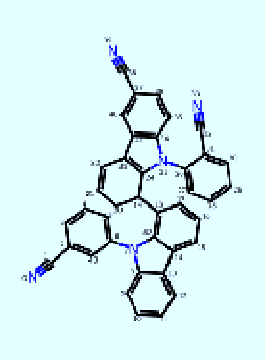 N#Cc1cccc(-n2c3ccccc3c3cccc(C4CC=Cc5c4n(-c4ccccc4C#N)c4ccc(C#N)cc54)c32)c1